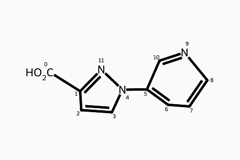 O=C(O)c1ccn(-c2cccnc2)n1